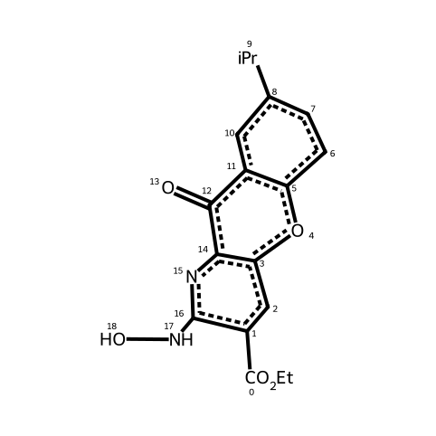 CCOC(=O)c1cc2oc3ccc(C(C)C)cc3c(=O)c2nc1NO